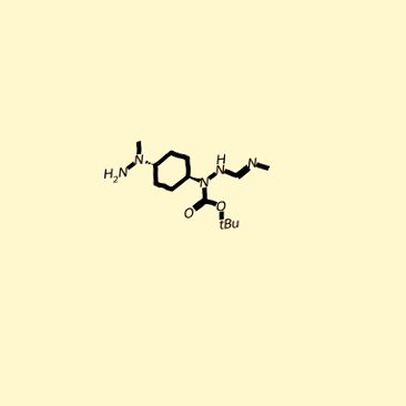 CN=CNN(C(=O)OC(C)(C)C)[C@H]1CC[C@H](N(C)N)CC1